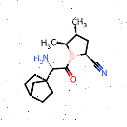 C[C@@H]1B(C(=O)[C@@H](N)C23CCC(CC2)C3)[C@H](C#N)C[C@@H]1C